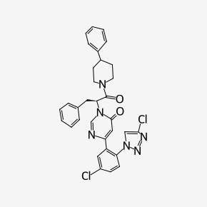 O=C([C@H](Cc1ccccc1)n1cnc(-c2cc(Cl)ccc2-n2cc(Cl)nn2)cc1=O)N1CCC(c2ccccc2)CC1